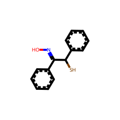 O/N=C(\c1ccccc1)C(S)c1ccccc1